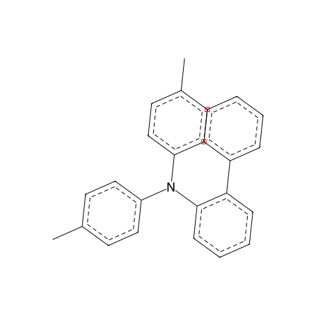 Cc1ccc(N(c2ccc(C)cc2)c2ccccc2-c2ccccc2)cc1